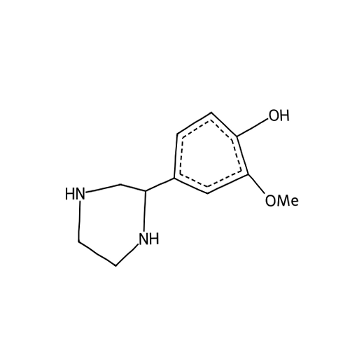 COc1cc(C2CNCCN2)ccc1O